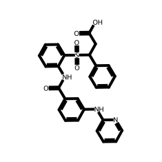 O=C(O)CC(c1ccccc1)S(=O)(=O)c1ccccc1NC(=O)c1cccc(Nc2ccccn2)c1